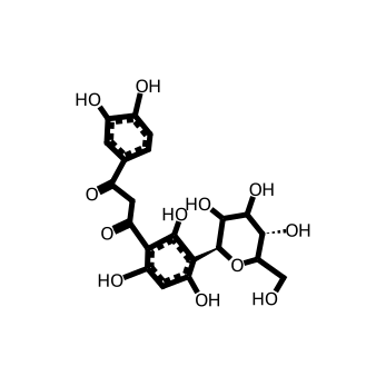 O=C(CC(=O)c1c(O)cc(O)c([C@@H]2OC(CO)[C@@H](O)C(O)C2O)c1O)c1ccc(O)c(O)c1